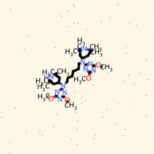 COc1nc(OC)nc(N(CCCCCCN(c2nc(OC)nc(OC)n2)C2CC(C)(C)NC(C)(C)C2)C2CC(C)(C)NC(C)(C)C2)n1